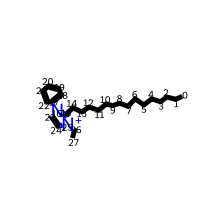 CCCCCCCCCCCCCCCc1n(-c2ccccc2)cc[n+]1CC